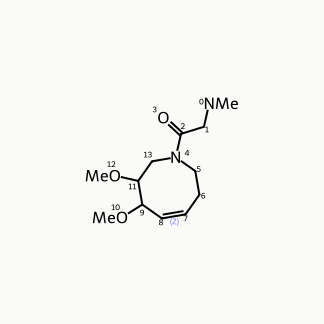 CNCC(=O)N1CC/C=C\C(OC)C(OC)C1